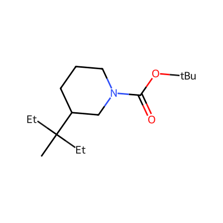 CCC(C)(CC)C1CCCN(C(=O)OC(C)(C)C)C1